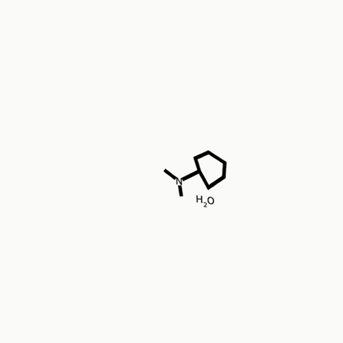 CN(C)C1CCCCC1.O